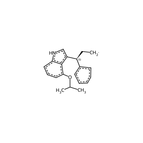 [CH2]C[C@@H](c1ccccc1)c1c[nH]c2cccc(OC(C)C)c12